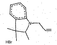 Br.C=CCN1c2ccccc2C(C)(C)C1C